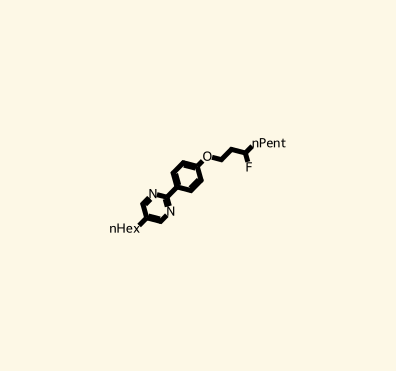 CCCCCCc1cnc(-c2ccc(OCCC(F)CCCCC)cc2)nc1